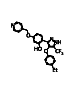 CCc1ccc(Oc2c(-c3ccc(OCc4ccncc4)cc3O)n[nH]c2C(F)(F)F)cc1